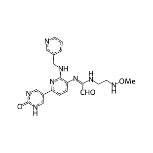 CONCCN/C(C=O)=N/c1ccc(-c2cnc(=O)[nH]c2)nc1NCc1cccnc1